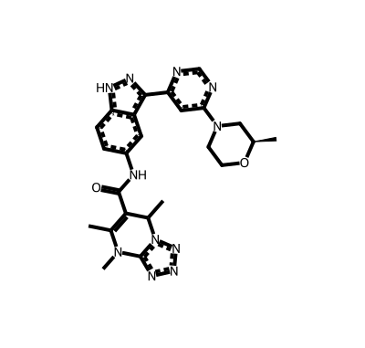 CC1=C(C(=O)Nc2ccc3[nH]nc(-c4cc(N5CCO[C@H](C)C5)ncn4)c3c2)C(C)n2nnnc2N1C